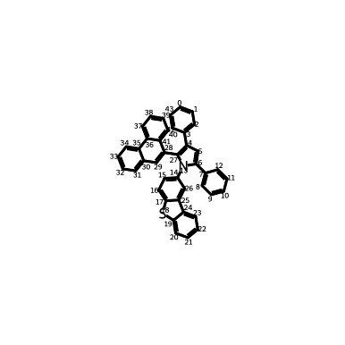 c1ccc(-c2cc(-c3ccccc3)n(-c3ccc4sc5ccccc5c4c3)c2-c2cc3ccccc3c3ccccc23)cc1